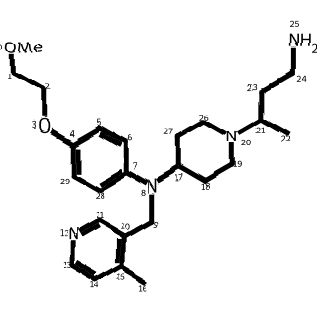 COCCOc1ccc(N(Cc2cnccc2C)C2CCN(C(C)CCN)CC2)cc1